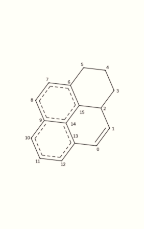 C1=CC2CCCc3ccc4cccc1c4c32